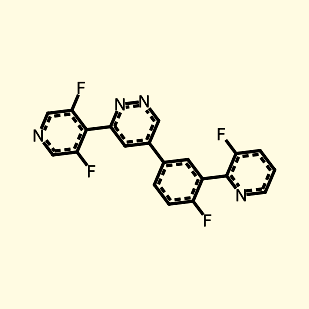 Fc1ccc(-c2cnnc(-c3c(F)cncc3F)c2)cc1-c1ncccc1F